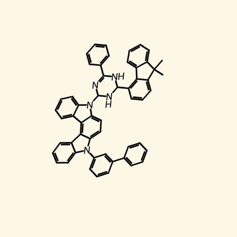 CC1(C)c2ccccc2-c2c(C3NC(c4ccccc4)=NC(n4c5ccccc5c5c6c7ccccc7n(-c7cccc(-c8ccccc8)c7)c6ccc54)N3)cccc21